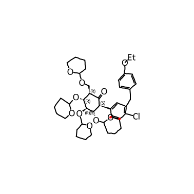 CCOc1ccc(Cc2cc([C@@H]3C(=O)[C@H](COC4CCCCO4)[C@@H](OC4CCCCO4)[C@H](OC4CCCCO4)[C@H]3OC3CCCCO3)ccc2Cl)cc1